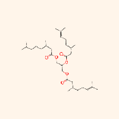 CC(C)=CCCC(C)CC(=O)OCC(COC(=O)CC(C)CCCC(C)C)OC(=O)CC(C)CCC=C(C)C